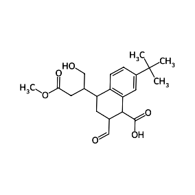 COC(=O)CC(CO)C1CC(C=O)C(C(=O)O)c2cc(C(C)(C)C)ccc21